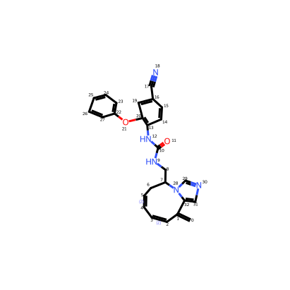 C=C1/C=C\C=C/CC(CNC(=O)Nc2ccc(C#N)cc2Oc2ccccc2)n2cncc21